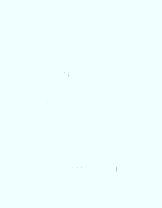 CC(C)C(=O)CCSC(=S)N1CCCCC1